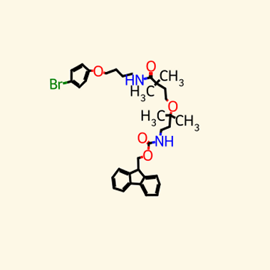 CC(C)(CCNC(=O)OCC1c2ccccc2-c2ccccc21)OCCC(C)(C)C(=O)NCCCCOc1ccc(Br)cc1